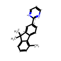 Cc1cccc2c1-c1ccc(-c3ncccn3)cc1C2(C)C